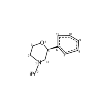 CC(C)N1CCO[C@@H](c2ccccc2)C1